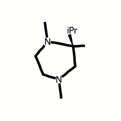 CC(C)[C@@]1(C)CN(C)CCN1C